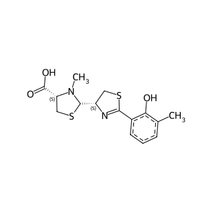 Cc1cccc(C2=N[C@H](C3SC[C@H](C(=O)O)N3C)CS2)c1O